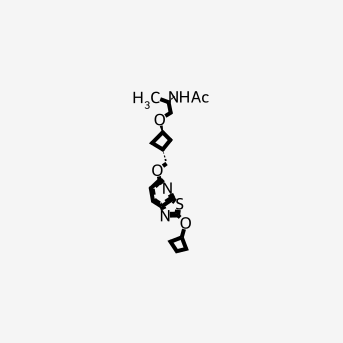 CC(=O)N[C@@H](C)CO[C@H]1C[C@H](COc2ccc3nc(OC4CCC4)sc3n2)C1